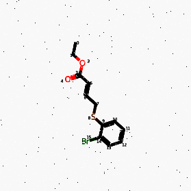 CCOC(=O)C=CCSc1ccccc1Br